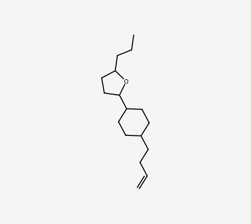 C=CCCC1CCC(C2CCC(CCC)O2)CC1